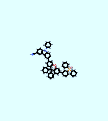 N#Cc1ccc2c(c1)c1cc(-c3ccc4c(c3)Oc3cc(-c5cccc(P(=O)(c6ccccc6)c6ccccc6)c5)ccc3C4(c3ccccc3)c3ccccc3)ccc1n2-c1ccccc1